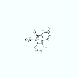 CCc1ccc(N2CCOCC2)c(C(=O)O[N+](=O)[O-])c1